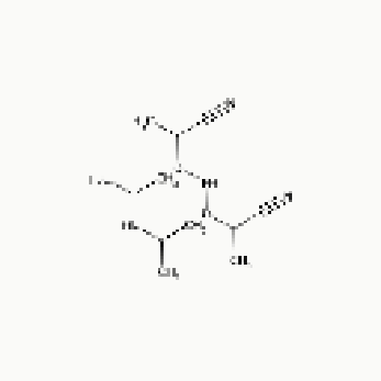 CC(C#N)OPOC(C)C#N.CC(C)NC(C)C